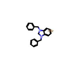 Br.c1ccc(CN2CN(Cc3ccccc3)c3ccccc32)cc1